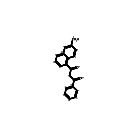 O=C(O)c1ccc2c(C(=O)CC(=O)c3ccccc3)cccc2c1